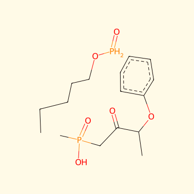 CC(Oc1ccccc1)C(=O)CP(C)(=O)O.CCCCCO[PH2]=O